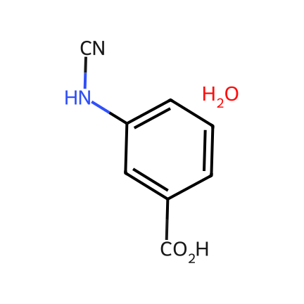 N#CNc1cccc(C(=O)O)c1.O